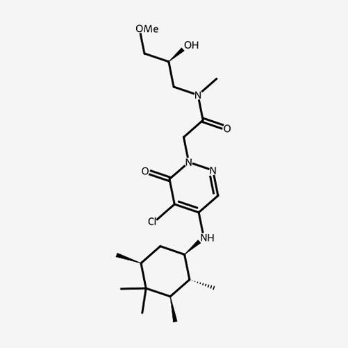 COC[C@@H](O)CN(C)C(=O)Cn1ncc(N[C@@H]2C[C@H](C)C(C)(C)[C@H](C)[C@H]2C)c(Cl)c1=O